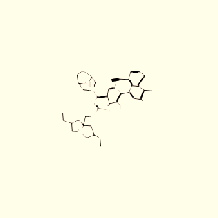 C#Cc1cccc2c(F)c(O)cc(-c3ncc4c(N5CC6CCC(C5)N6)nc(OCC56CC(CC)CN5CC(CC)C6)nc4c3F)c12